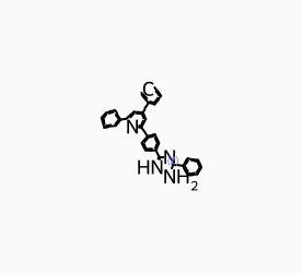 N=C(/N=C(\N)c1ccccc1)c1ccc(-c2cc(-c3ccccc3)cc(-c3ccccc3)n2)cc1